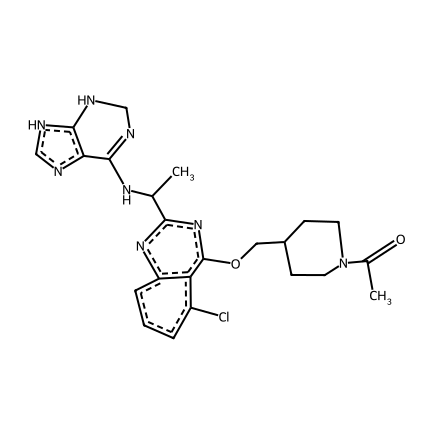 CC(=O)N1CCC(COc2nc(C(C)NC3=NCNc4[nH]cnc43)nc3cccc(Cl)c23)CC1